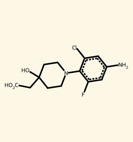 Nc1cc(F)c(N2CCC(O)(CC(=O)O)CC2)c(Cl)c1